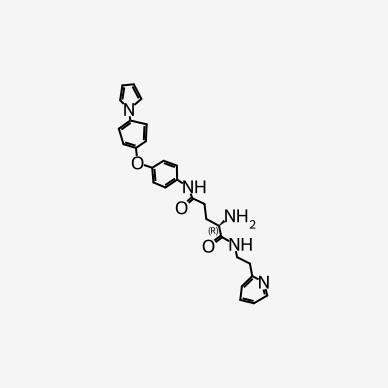 N[C@H](CCC(=O)Nc1ccc(Oc2ccc(-n3cccc3)cc2)cc1)C(=O)NCCc1ccccn1